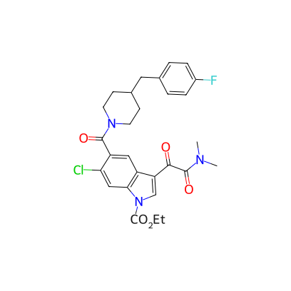 CCOC(=O)n1cc(C(=O)C(=O)N(C)C)c2cc(C(=O)N3CCC(Cc4ccc(F)cc4)CC3)c(Cl)cc21